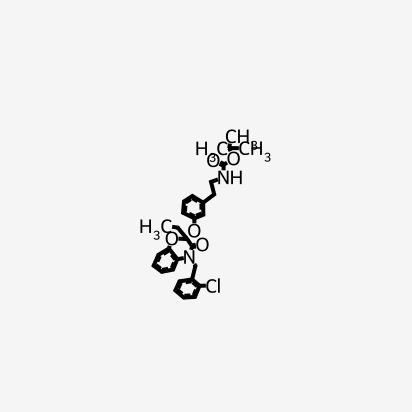 CCC1(Oc2cccc(CCNC(=O)OC(C)(C)C)c2)Oc2ccccc2N(Cc2ccccc2Cl)C1=O